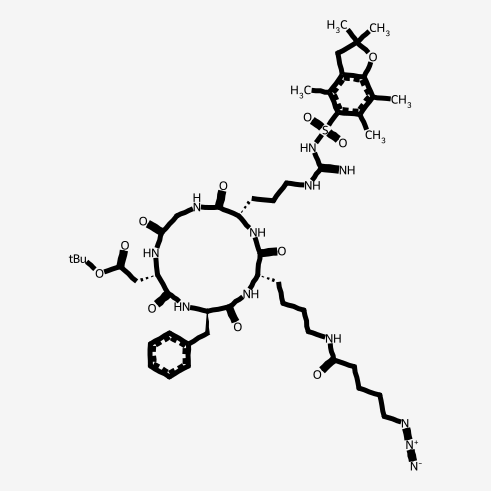 Cc1c(C)c(S(=O)(=O)NC(=N)NCCC[C@@H]2NC(=O)[C@H](CCCCNC(=O)CCCCN=[N+]=[N-])NC(=O)[C@@H](Cc3ccccc3)NC(=O)[C@H](CC(=O)OC(C)(C)C)NC(=O)CNC2=O)c(C)c2c1OC(C)(C)C2